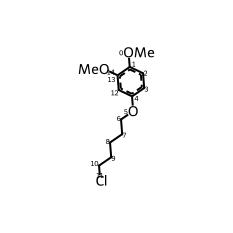 COc1ccc(OCCCCCCl)cc1OC